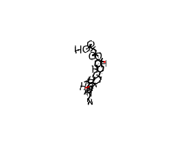 CC(=O)/C(=C1/[C@H]2CC[C@@H]3[C@@]4(C)CC[C@H](OC(=O)CC(C)(C)C(=O)O)C(C)(C)[C@@H]4CC[C@@]3(C)[C@]2(C)CC[C@]1(C)[C@H](O)CN(CCN(C)C)C(C)C)C(C)C